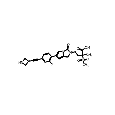 CC(CCN1Cc2cc(-c3ccc(C#CC4CNC4)cc3F)cn2C1=O)(C(=O)O)S(C)(=O)=O